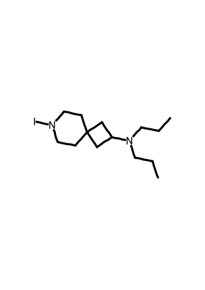 CCCN(CCC)C1CC2(CCN(I)CC2)C1